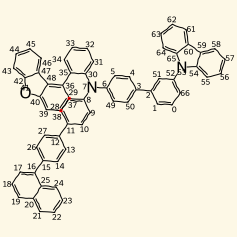 c1cc(-c2ccc(N(c3ccc(-c4ccc(-c5cccc6ccccc56)cc4)cc3)c3ccccc3-c3cccc4oc5ccccc5c34)cc2)cc(-n2c3ccccc3c3ccccc32)c1